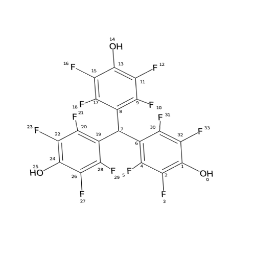 Oc1c(F)c(F)c(C(c2c(F)c(F)c(O)c(F)c2F)c2c(F)c(F)c(O)c(F)c2F)c(F)c1F